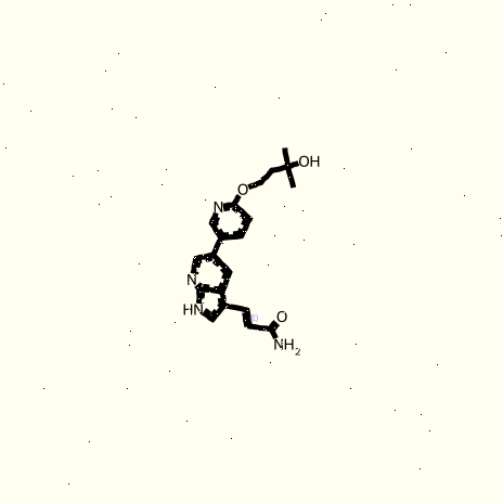 CC(C)(O)CCOc1ccc(-c2cnc3[nH]cc(/C=C/C(N)=O)c3c2)cn1